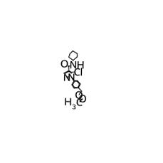 COOCc1ccc(-n2ncc(C(=O)NC3CCCCC3)c2Cl)cc1